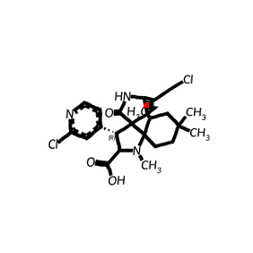 CC1CC(C)(C)CCC12N(C)C(C(=O)O)[C@H](c1ccnc(Cl)c1)C21C(=O)Nc2cc(Cl)ccc21